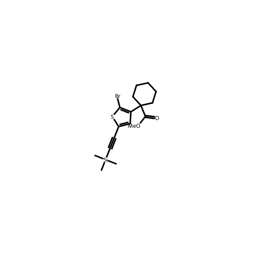 COC(=O)C1(c2cc(C#C[Si](C)(C)C)sc2Br)CCCCC1